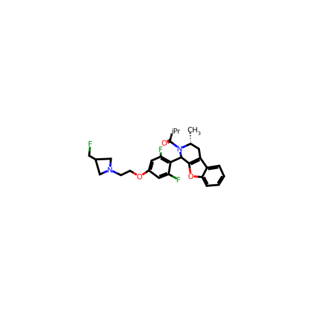 CC(C)C(=O)N1C(c2c(F)cc(OCCN3CC(CF)C3)cc2F)c2oc3ccccc3c2C[C@H]1C